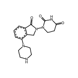 O=C1CCN(N2Cc3c(cccc3N3CCNCC3)C2=O)C(=O)N1